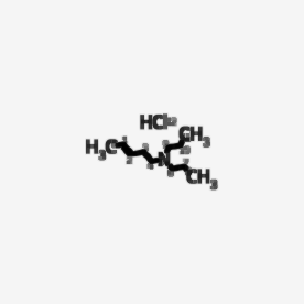 CC=CCCN(CCC)CCC.Cl